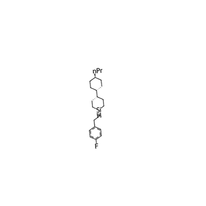 CCC[C@H]1CC[C@H]([C@H]2CC[Si@H](CCc3ccc(F)cc3)CC2)CC1